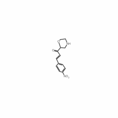 O=C(C=Cc1ccc([N+](=O)[O-])cc1)C1CNCCO1